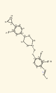 C/C=C/c1ccc(CCC2CCC(c3ccc(C4CO4)c(F)c3)CC2)c(F)c1F